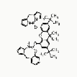 CC(C)(C)c1cc(OP2NC3C=CC=C3Cc3ccccc3O2)c2c(c1)C(C)(C)c1cc(C(C)(C)C)cc(OP3n4cccc4Cc4cccn43)c1O2